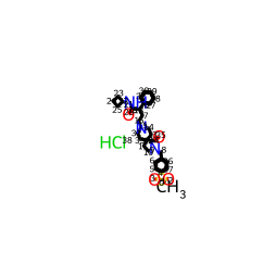 CS(=O)(=O)c1ccc(CN2CCC3(CCN(CCC(C(=O)NC4CCC4)c4ccccc4)CC3)C2=O)cc1.Cl